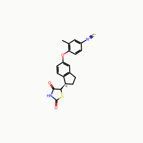 [C-]#[N+]c1ccc(Oc2ccc3c(c2)CC[C@H]3C2SC(=O)NC2=O)c(C)c1